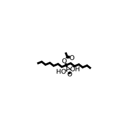 CCCCCCCC(CCCCCC)(OC(C)=O)P(=O)(O)O